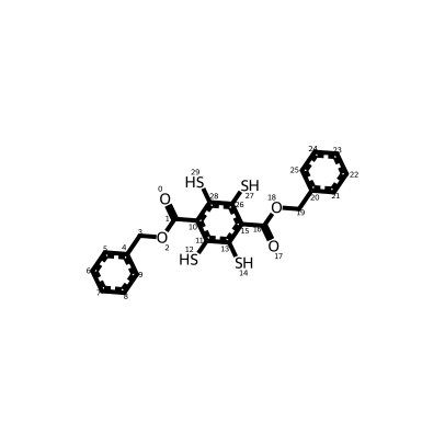 O=C(OCc1ccccc1)c1c(S)c(S)c(C(=O)OCc2ccccc2)c(S)c1S